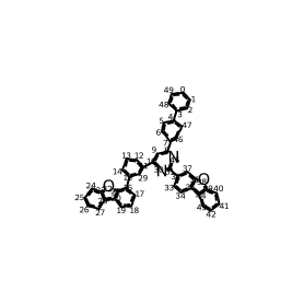 c1ccc(-c2ccc(-c3cc(-c4cccc(-c5cccc6c5oc5ccccc56)c4)nc(-c4ccc5c(c4)oc4ccccc45)n3)cc2)cc1